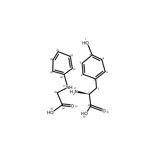 N[C@@H](Cc1ccc(O)cc1)C(=O)O.O=C(O)CNc1ccccc1